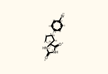 O=C1NC(=O)[C@@]2(CC[C@H](c3ccc(Br)cc3)C2)N1